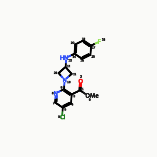 COC(=O)c1cc(Cl)cnc1N1CC(Nc2ccc(F)cc2)C1